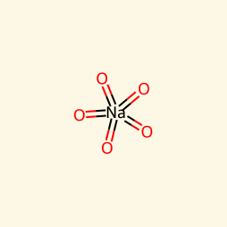 [O]=[Na](=[O])(=[O])(=[O])=[O]